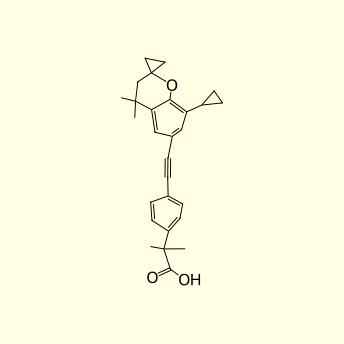 CC1(C)CC2(CC2)Oc2c(C3CC3)cc(C#Cc3ccc(C(C)(C)C(=O)O)cc3)cc21